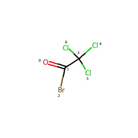 O=C(Br)C(Cl)(Cl)Cl